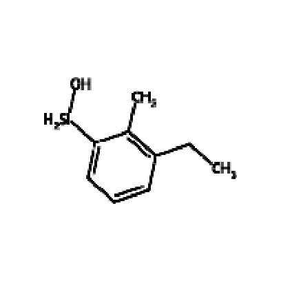 CCc1cccc([SiH2]O)c1C